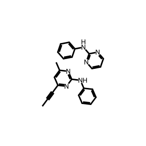 CC#Cc1cc(C)nc(Nc2ccccc2)n1.c1ccc(Nc2ncccn2)cc1